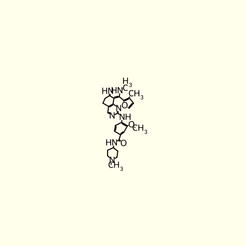 CN/C(=C1\C(=N)CCc2cnc(Nc3ccc(C(=O)NC4CCN(C)CC4)cc3OC)nc21)c1occc1C